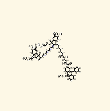 C=C(/C=C/C=C/C=C/C=C1/N(CCCCCC(=O)NCCNC(=O)c2ccc(C(=O)OC)c(P(c3ccccc3)c3ccccc3)c2)c2ccc(S(=O)(=O)O)cc2C1(C)CCCS(=O)(=O)O)C(C)(CCCS(=O)(=O)O)c1cc(S(=O)(=O)O)ccc1C